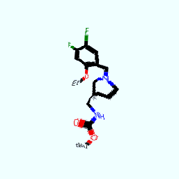 CCOc1cc(F)c(F)cc1CN1CC[C@@H](CNC(=O)OC(C)(C)C)C1